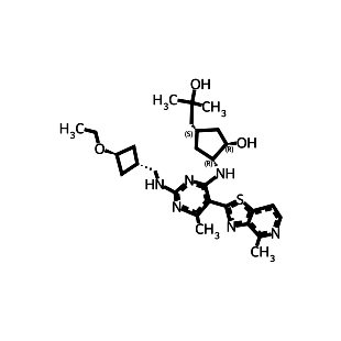 CCO[C@H]1C[C@H](CNc2nc(C)c(-c3nc4c(C)nccc4s3)c(N[C@@H]3C[C@H](CC(C)(C)O)C[C@H]3O)n2)C1